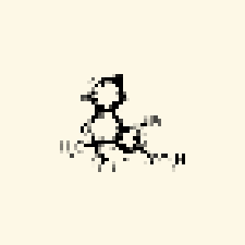 CC(C)n1c(C(=O)O)cc2c1-c1ccncc1OC2(C)C